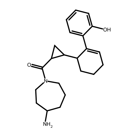 NC1CCCN(C(=O)C2CC2C2CCCC=C2c2ccccc2O)CC1